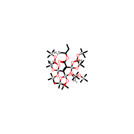 CCC([SiH3])OC(=O)C(=C([Si](O[SiH2]O[Si](C)(C)C)(O[Si](C)(C)C)O[Si](C)(C)C)[Si](O[SiH2]O[Si](C)(C)C)(O[Si](C)(C)C)O[Si](C)(C)C)[Si](O[SiH2]O[Si](C)(C)C)(O[Si](C)(C)C)O[Si](C)(C)C